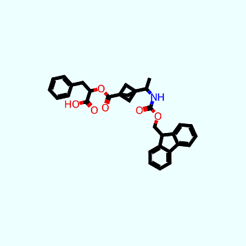 CC(NC(=O)OCC1c2ccccc2-c2ccccc21)C12CC(C(=O)OC(Cc3ccccc3)C(=O)O)(C1)C2